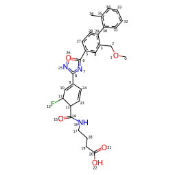 COCc1cc(-c2nc(C3=CC(F)C(C(=O)NCCCC(=O)O)C=C3)no2)ccc1-c1ccccc1C